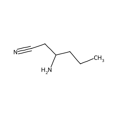 CCCC(N)CC#N